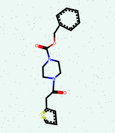 O=C(Cc1cccs1)N1CCN(C(=O)OCc2ccccc2)CC1